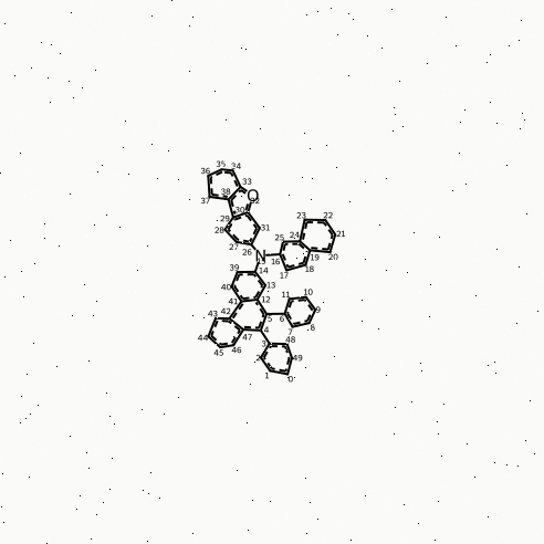 c1ccc(-c2c(-c3ccccc3)c3cc(N(c4ccc5ccccc5c4)c4ccc5c(c4)oc4ccccc45)ccc3c3ccccc23)cc1